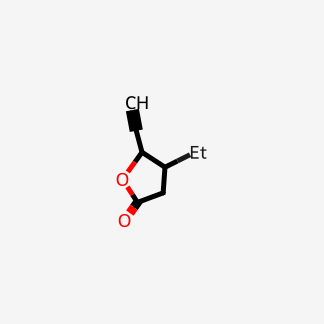 C#CC1OC(=O)CC1CC